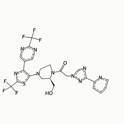 O=C(Cn1cnc(-c2ccccn2)n1)N1CCN(c2sc(C(F)(F)F)nc2-c2cnc(C(F)(F)F)nc2)C[C@@H]1CO